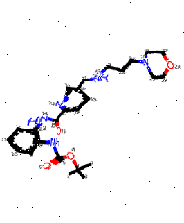 CC(C)(C)OC(=O)Nc1ccccc1NC(=O)c1ccc(CNCCCN2CCOCC2)cn1